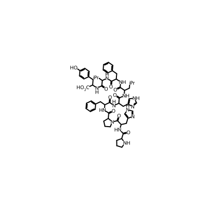 CC(C)CC(NC(=O)C(Cc1c[nH]cn1)NC(=O)C(Cc1ccccc1)NC(=O)C1CCCN1C(=O)C(Cc1c[nH]cn1)NC(=O)C1CCCN1)C(=O)NC(Cc1ccccc1)C(=O)NC(C(=O)NC(Cc1ccc(O)cc1)C(=O)O)C(C)C